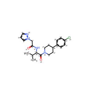 CC(C)[C@@H](NC(=O)Cn1cccn1)C(=O)N1CCC(c2ccc(Cl)cc2)CC1